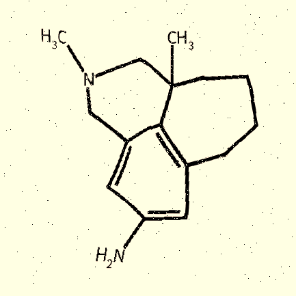 CN1Cc2cc(N)cc3c2C(C)(CCCC3)C1